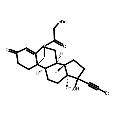 CCC#CC1(O)CC[C@H]2[C@@H]3CCC4=CC(=O)CC[C@]4(COC(=O)CCCCCCCCCCC)[C@@H]3CC[C@@]21C